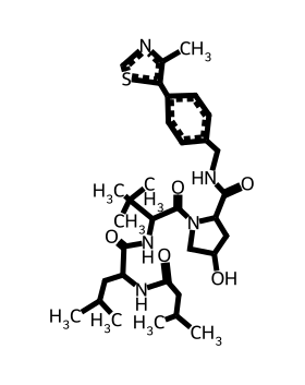 Cc1ncsc1-c1ccc(CNC(=O)C2CC(O)CN2C(=O)C(NC(=O)C(CC(C)C)NC(=O)CC(C)C)C(C)(C)C)cc1